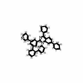 c1ccc(-c2ccc3c(-c4ccccc4)nc(-c4cc(-c5cccnc5)cc(-c5ccccc5-c5ccccn5)c4)nc3c2)cc1